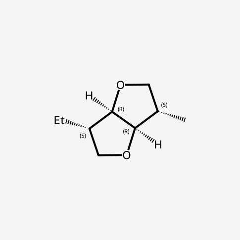 CC[C@H]1CO[C@H]2[C@@H]1OC[C@@H]2C